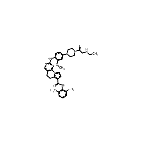 CCNCC(=O)N1CCN(c2ccc(Nc3ncc4c(n3)-n3ccc(C(=O)Nc5c(C)cccc5C)c3CC4)c(OC)c2)CC1